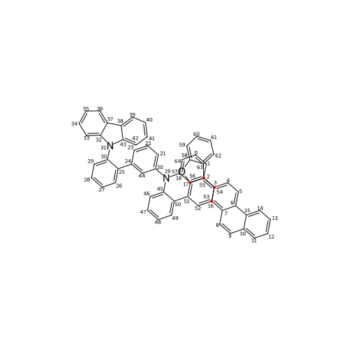 c1cc(-c2ccc3c(ccc4ccccc43)c2)cc(N(c2cccc(-c3ccccc3-n3c4ccccc4c4ccccc43)c2)c2ccccc2-c2cccc3c2oc2ccccc23)c1